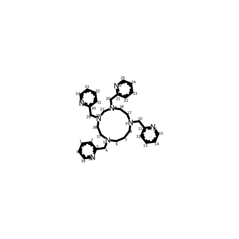 c1ccc(CN2CCCN(Cc3ccccn3)CCN(Cc3ccccn3)CN(Cc3ccccn3)CC2)nc1